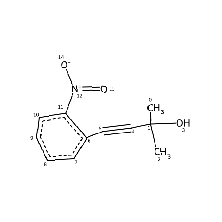 CC(C)(O)C#Cc1ccccc1[N+](=O)[O-]